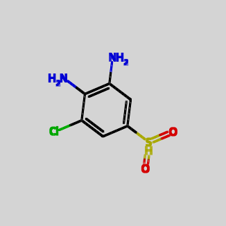 Nc1cc([SH](=O)=O)cc(Cl)c1N